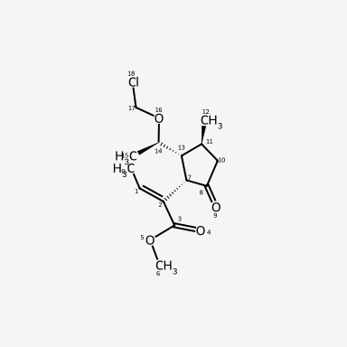 C/C=C(/C(=O)OC)[C@H]1C(=O)C[C@H](C)[C@H]1[C@@H](C)OCCl